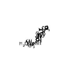 CC(C1CC1)N(Cc1ccccc1)C(=O)CN1C(=O)NC2(CCc3cc(NC4CN(C(=O)OC(C)(C)C)C4)ccc32)C1=O